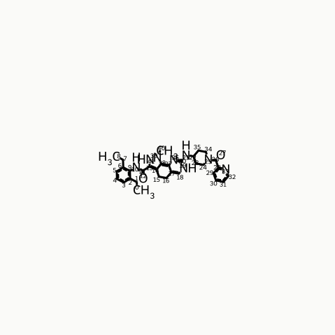 CCc1cccc(CC)c1NC(=O)C1=C2CCC3=CNC(NC4CCN(C(=O)c5ccccn5)CC4)=NC3=C2N(C)N1